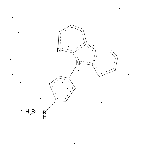 BBc1ccc(-n2c3ccccc3c3cccnc32)cc1